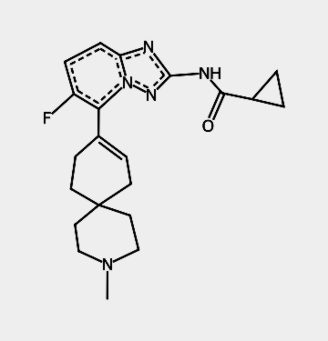 CN1CCC2(CC=C(c3c(F)ccc4nc(NC(=O)C5CC5)nn34)CC2)CC1